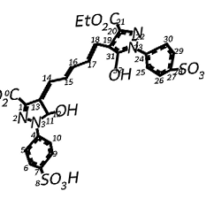 CCOC(=O)C1=NN(c2ccc(S(=O)(=O)O)cc2)C(O)C1=CC=CC=Cc1c(C(=O)OCC)nn(-c2ccc(S(=O)(=O)O)cc2)c1O